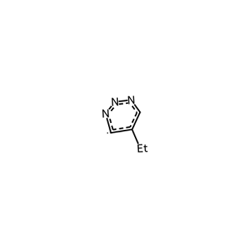 CCc1[c]nnnc1